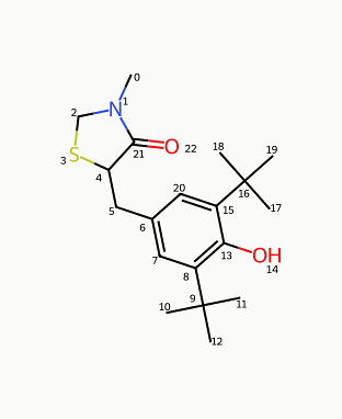 CN1CSC(Cc2cc(C(C)(C)C)c(O)c(C(C)(C)C)c2)C1=O